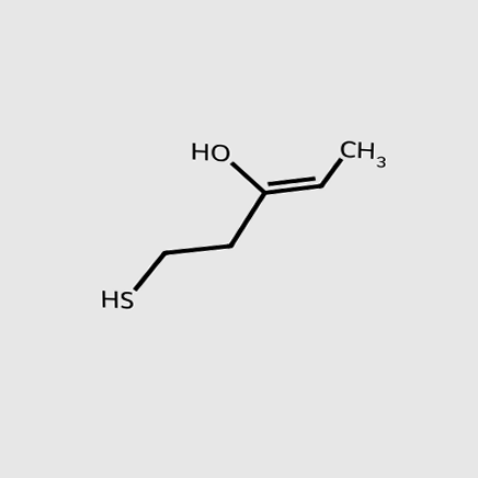 CC=C(O)CCS